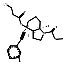 COC(=O)N1CC[C@@H]2[C@H]1CCC[C@]2(C#Cc1cccc(C)c1)OC(=O)CCN